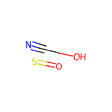 N#CO.O=S